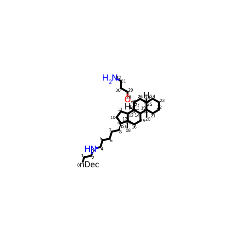 CCCCCCCCCCCCNCCCCC[C@H]1CCC2[C@H]3C(CC[C@@]21C)[C@@]1(C)CCCC[C@H]1C[C@H]3OCCCN